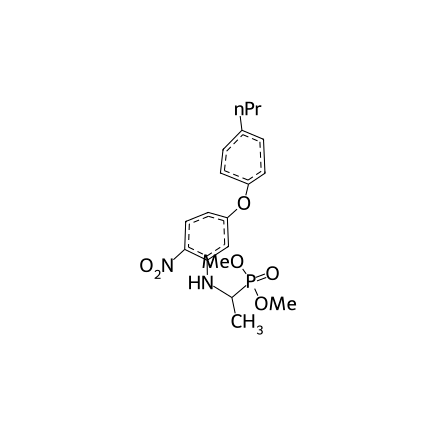 CCCc1ccc(Oc2ccc([N+](=O)[O-])c(NC(C)P(=O)(OC)OC)c2)cc1